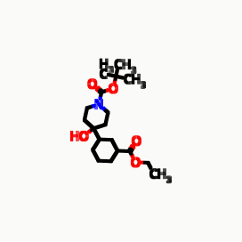 CCOC(=O)C1CCCC(C2(O)CCN(C(=O)OC(C)(C)C)CC2)C1